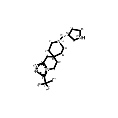 FC(F)(F)c1nnc2n1CCC1(CCN(C[C@@H]3CCNC3)CC1)C2